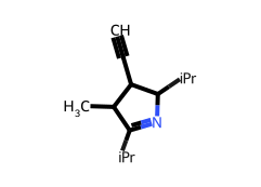 C#CC1C(C)C(C(C)C)=NC1C(C)C